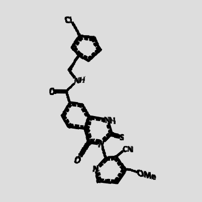 COc1ccnc(-n2c(=S)[nH]c3cc(C(=O)NCc4cccc(Cl)c4)ccc3c2=O)c1C#N